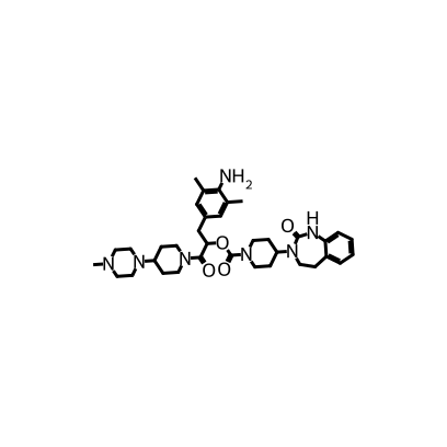 Cc1cc(CC(OC(=O)N2CCC(N3CCc4ccccc4NC3=O)CC2)C(=O)N2CCC(N3CCN(C)CC3)CC2)cc(C)c1N